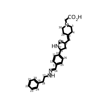 O=C(O)CN1CCC(=CC2CC(c3ccc(C=NNCCc4ccccc4)cc3)NO2)CC1